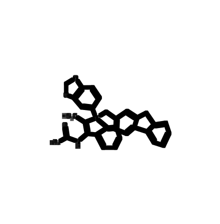 CCCCC(=O)NC1=C(C(=O)O)[N+](Cc2ccc3c(c2)Cc2ccccc2-3)(c2ccc3c(c2)OCO3)c2ccccc21